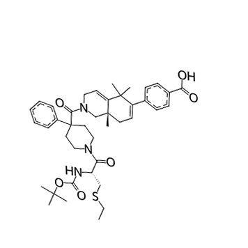 CCSC[C@H](NC(=O)OC(C)(C)C)C(=O)N1CCC(C(=O)N2CC=C3C(C)(C)C(c4ccc(C(=O)O)cc4)=CC[C@]3(C)C2)(c2ccccc2)CC1